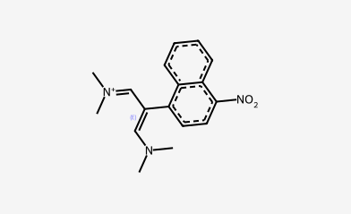 CN(C)/C=C(/C=[N+](C)C)c1ccc([N+](=O)[O-])c2ccccc12